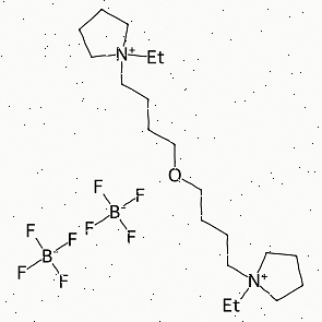 CC[N+]1(CCCCOCCCC[N+]2(CC)CCCC2)CCCC1.F[B-](F)(F)F.F[B-](F)(F)F